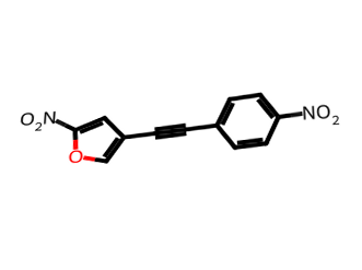 O=[N+]([O-])c1ccc(C#Cc2coc([N+](=O)[O-])c2)cc1